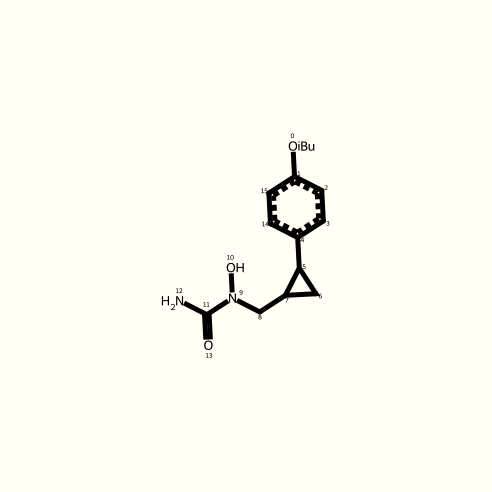 CC(C)COc1ccc(C2CC2CN(O)C(N)=O)cc1